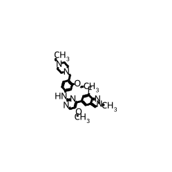 CCOc1cc(Nc2ncc(OC)c(-c3cc(F)c4nn(C)cc4c3)n2)ccc1CN1CCN(CC)CC1